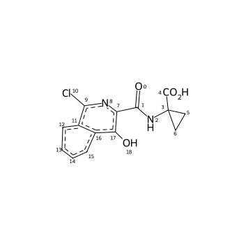 O=C(NC1(C(=O)O)CC1)c1nc(Cl)c2ccccc2c1O